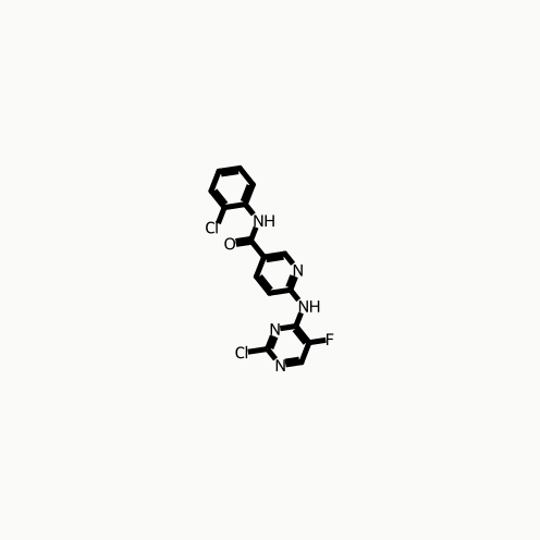 O=C(Nc1ccccc1Cl)c1ccc(Nc2nc(Cl)ncc2F)nc1